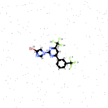 FC(F)(F)c1cccc(-c2cc(C(F)(F)F)nc(-n3cnc(Br)c3)n2)c1